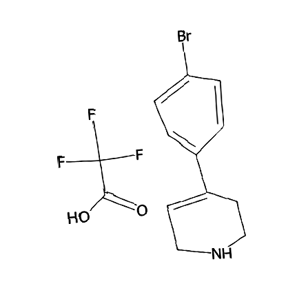 Brc1ccc(C2=CCNCC2)cc1.O=C(O)C(F)(F)F